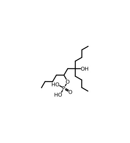 CCCCC(CC(O)(CCCC)CCCC)OP(=O)(O)O